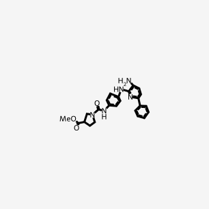 COC(=O)C1CCN(C(=O)Nc2ccc(Nc3nc(-c4ccccc4)ccc3N)cc2)C1